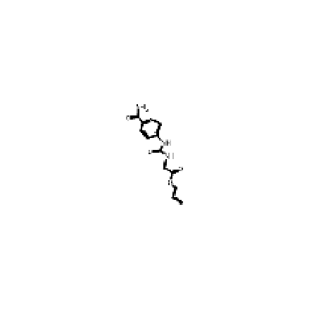 C=CCOC(=O)CNC(=O)Nc1ccc(C(N)=O)cc1